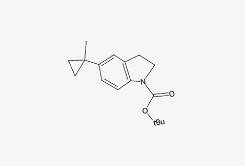 CC(C)(C)OC(=O)N1CCc2cc(C3(C)CC3)ccc21